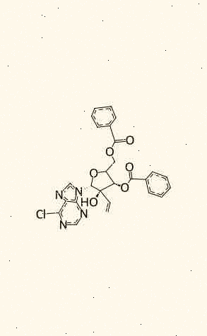 C=C[C@@]1(O)[C@H](OC(=O)c2ccccc2)C(COC(=O)c2ccccc2)O[C@H]1n1cnc2c(Cl)ncnc21